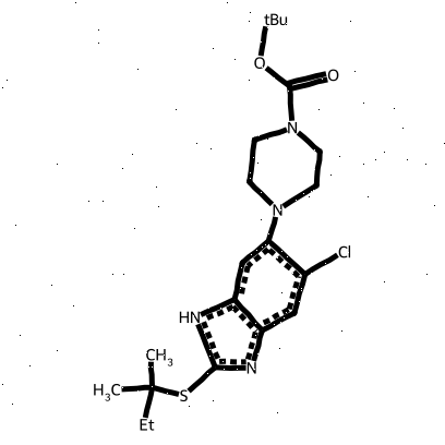 CCC(C)(C)Sc1nc2cc(Cl)c(N3CCN(C(=O)OC(C)(C)C)CC3)cc2[nH]1